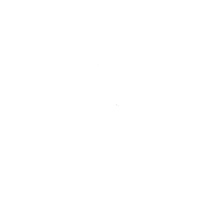 COCCCN1CCC(C(C)=O)CC1